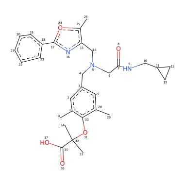 Cc1cc(CN(CC(=O)NCC2CC2)Cc2nc(-c3ccccc3)oc2C)cc(C)c1OC(C)(C)C(=O)O